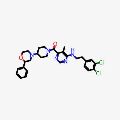 Cc1c(NCCc2ccc(Cl)c(Cl)c2)ncnc1C(=O)N1CCC(N2CCOC(c3ccccc3)C2)CC1